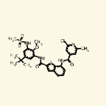 COc1c(NC(=O)c2cc3cccc(NC(=O)c4cc(C)nc(Cl)c4)c3s2)cc(C(C)(C)C)cc1NS(C)(=O)=O